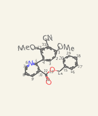 COc1ccc(-c2ncccc2C(=O)OCc2ccccc2)c(OC)c1C#N